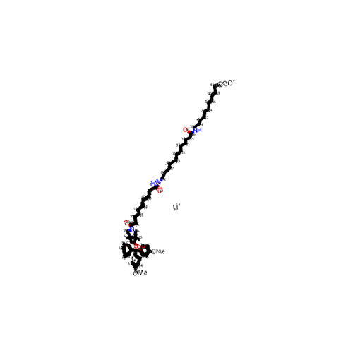 COc1ccc(C(OCC2(C)CN(C(=O)CCCCCCCCC(=O)NCCCCCCCCCCCC(=O)NCCCCCCCCCCCC(=O)[O-])CC2(C)CO)(c2ccccc2)c2ccc(OC)cc2)cc1.[Li+]